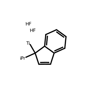 CC(C)[C]1([Ti])C=Cc2ccccc21.F.F